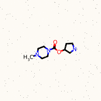 CN1CCN(C(=O)OC2CC[N]C2)CC1